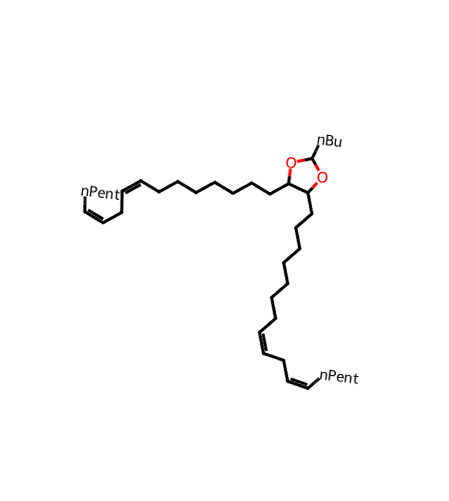 CCCCC/C=C\C/C=C\CCCCCCCC1OC(CCCC)OC1CCCCCCC/C=C\C/C=C\CCCCC